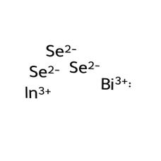 [Bi+3].[In+3].[Se-2].[Se-2].[Se-2]